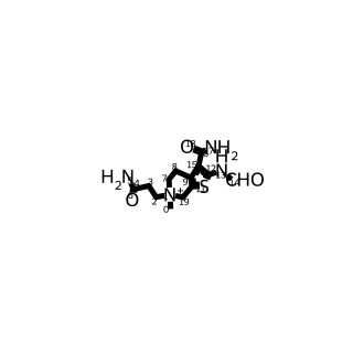 C[N+]1(CCC(N)=O)CCc2c(sc(NC=O)c2C(N)=O)C1